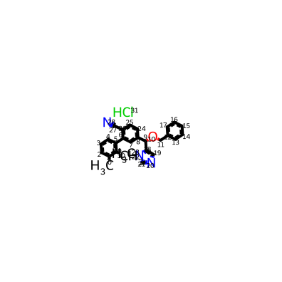 Cc1cccc(-c2cc(C(OCc3ccccc3)c3cncn3C)ccc2C#N)c1C.Cl